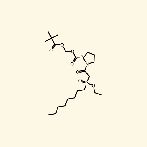 CCCCCCCCP(=O)(CC(=O)N1CCC[C@H]1C(=O)OCOC(=O)C(C)(C)C)OCC